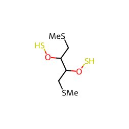 CSCC(OS)C(CSC)OS